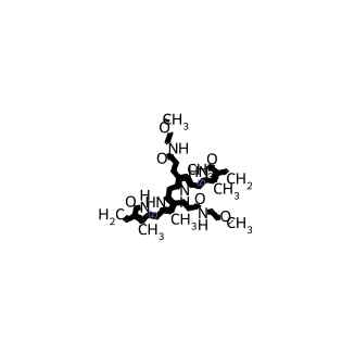 C=CC1=C(C)/C(=C/c2[nH]c(Cc3[nH]c(/C=C4\NC(=O)C(C=C)=C4C)c(C)c3CCC(=O)NCCOC)c(CCC(=O)NCCOC)c2C)NC1=O